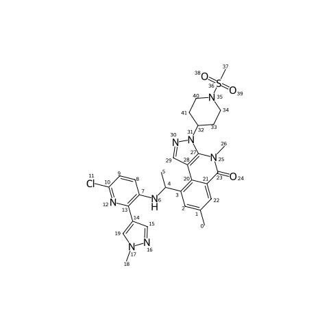 Cc1cc(C(C)Nc2ccc(Cl)nc2-c2cnn(C)c2)c2c(c1)c(=O)n(C)c1c2cnn1C1CCN(S(C)(=O)=O)CC1